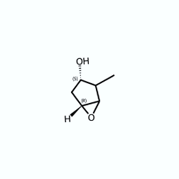 CC1C2O[C@@H]2C[C@@H]1O